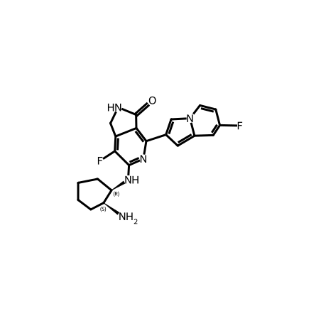 N[C@H]1CCCC[C@H]1Nc1nc(-c2cc3cc(F)ccn3c2)c2c(c1F)CNC2=O